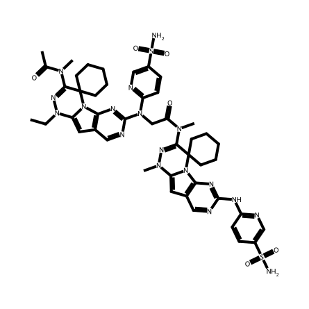 CCN1N=C(N(C)C(C)=O)C2(CCCCC2)n2c1cc1cnc(N(CC(=O)N(C)C3=NN(C)c4cc5cnc(Nc6ccc(S(N)(=O)=O)cn6)nc5n4C34CCCCC4)c3ccc(S(N)(=O)=O)cn3)nc12